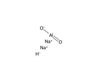 [H-].[Na+].[Na+].[O]=[Al][O-]